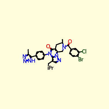 Cc1nn[nH]c1-c1ccc(-n2c(=O)c3c(n4ncc(CC(C)C)c24)CN(C(=O)c2ccc(Br)c(Cl)c2)C(C)C3)cc1